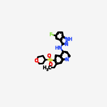 CCc1cc2nccc(Nc3n[nH]c4ccc(F)cc34)c2cc1S(=O)(=O)C1CCOCC1